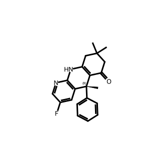 CC1(C)CC(=O)C2=C(C1)Nc1ncc(F)cc1[C@@]2(C)c1ccccc1